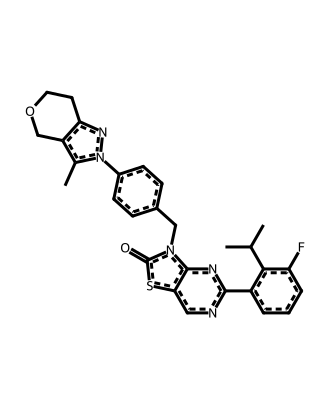 Cc1c2c(nn1-c1ccc(Cn3c(=O)sc4cnc(-c5cccc(F)c5C(C)C)nc43)cc1)CCOC2